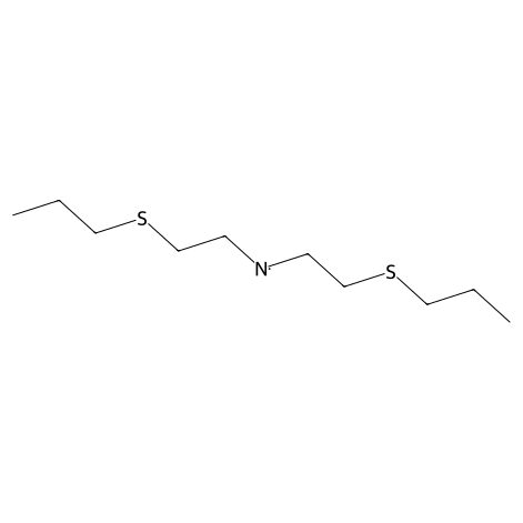 CCCSCC[N]CCSCCC